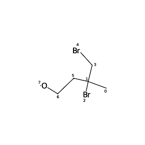 CC(Br)(CBr)CC[O]